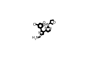 NCn1cc(-c2ccnc(NC3CCOC3)n2)c(-c2cc(O)cc(Cl)c2)n1